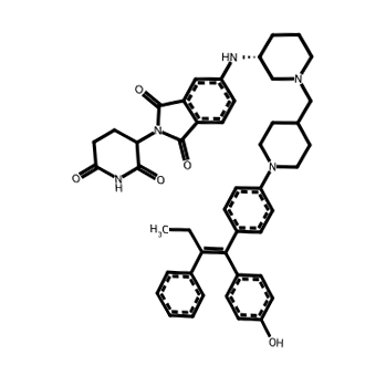 CCC(=C(c1ccc(O)cc1)c1ccc(N2CCC(CN3CCC[C@@H](Nc4ccc5c(c4)C(=O)N(C4CCC(=O)NC4=O)C5=O)C3)CC2)cc1)c1ccccc1